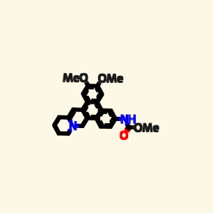 COC(=O)Nc1ccc2c3c(c4cc(OC)c(OC)cc4c2c1)C=C1CCCCN1C3